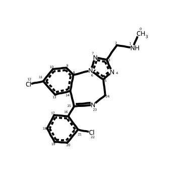 CNCc1nc2n(n1)-c1ccc(Cl)cc1C(c1ccccc1Cl)=NC2